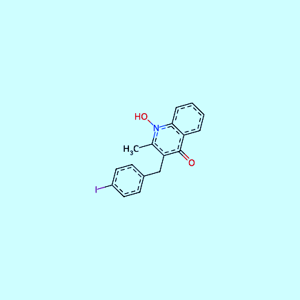 Cc1c(Cc2ccc(I)cc2)c(=O)c2ccccc2n1O